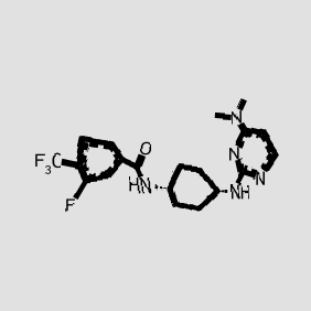 CN(C)c1ccnc(N[C@H]2CC[C@@H](NC(=O)c3ccc(C(F)(F)F)c(F)c3)CC2)n1